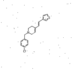 Clc1ccc(CN2CC=C(/C=C/c3ccsc3)CC2)cc1